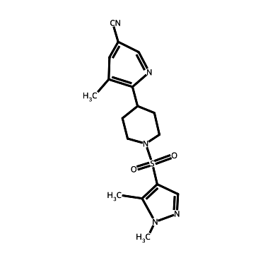 Cc1cc(C#N)cnc1C1CCN(S(=O)(=O)c2cnn(C)c2C)CC1